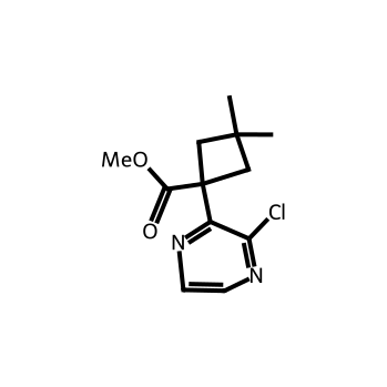 COC(=O)C1(c2nccnc2Cl)CC(C)(C)C1